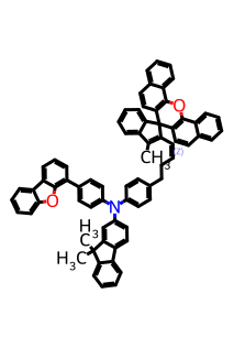 CC1=C(/C=C\CCc2ccc(N(c3ccc(-c4cccc5c4oc4ccccc45)cc3)c3ccc4c(c3)C(C)(C)c3ccccc3-4)cc2)C2(c3ccccc31)c1ccc3ccccc3c1Oc1c2ccc2ccccc12